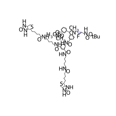 Cc1c(-c2cccc(S(=O)(=O)N(C)C)c2)c2cc(C(=O)Nc3cc(C(=O)NCCCCCNC(=O)CCCCC4SCC5NC(=O)NC54)cc(C(=O)NCCCCCNC(=O)CCCCC4SCC5NC(=O)NC54)c3)ccc2n1C/C(F)=C/CNC(=O)OC(C)(C)C